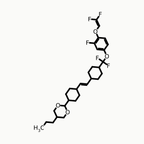 CCCC1COC(C2CCC(/C=C/C3CCC(C(F)(F)Oc4ccc(OC=C(F)F)c(F)c4)CC3)CC2)OC1